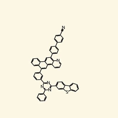 N#Cc1ccc(-c2ccc(-c3cc4c5ccccc5c(-c5cccc(-c6nc(-c7ccccc7)nc(-c7ccc8c(c7)sc7ccccc78)n6)c5)cc4c4cccnc34)cc2)cc1